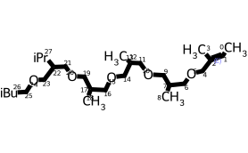 C/C=C(\C)COCC(C)COCC(C)COCC(C)COCC(COCC(C)CC)C(C)C